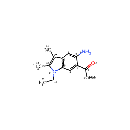 COC(=O)c1cc2c(cc1N)c(C#N)c(C)n2CC(F)(F)F